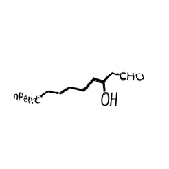 CCCCCCCCCCC(O)CC=O